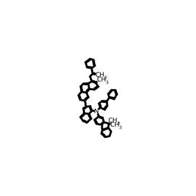 C=C(Cc1c(C)ccc2c1ccc1ccc(-c3cc(N(c4ccc(-c5ccccc5)cc4)c4ccc5c(c4)C(C)(C)C4=C5C=CCC4)c4ccccc4c3)cc12)c1ccccc1